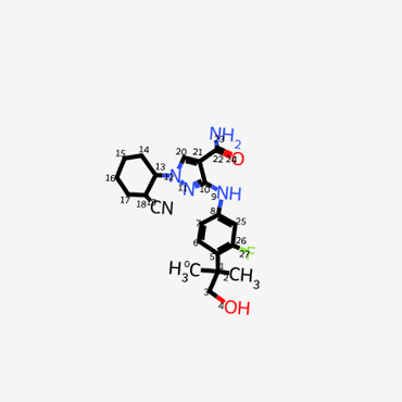 CC(C)(CO)c1ccc(Nc2nn(C3CCCCC3C#N)cc2C(N)=O)cc1F